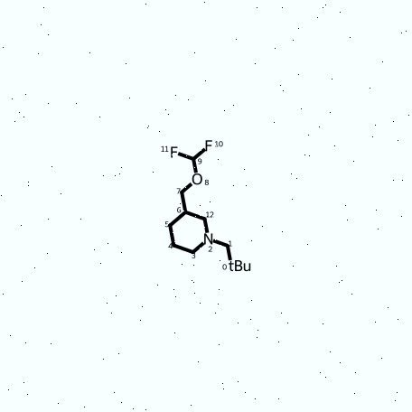 CC(C)(C)CN1CCCC(COC(F)F)C1